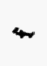 CCOP(=O)(CCCN1CCN(CC[C@H](CSc2ccccc2)Nc2ccc(S(=O)(=O)NC(=O)c3ccc(N4CCN(CC5=C(c6ccc(Cl)cc6)CCC(C)(C)C5)CC4)cc3)cc2S(=O)(=O)C(F)(F)F)CC1)OCOC(=O)OC(C)C